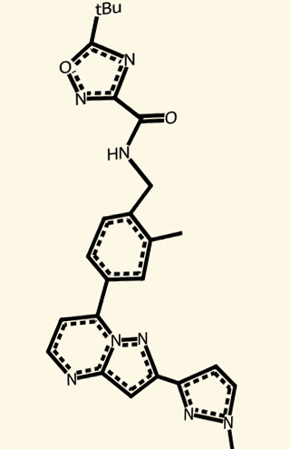 Cc1cc(-c2ccnc3cc(-c4ccn(C)n4)nn23)ccc1CNC(=O)c1noc(C(C)(C)C)n1